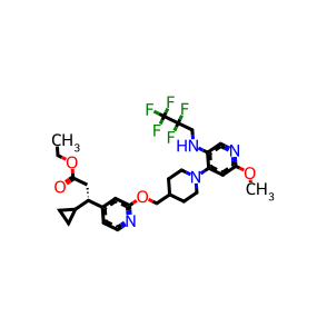 CCOC(=O)C[C@H](c1ccnc(OCC2CCN(c3cc(OC)ncc3NCC(F)(F)C(F)(F)F)CC2)c1)C1CC1